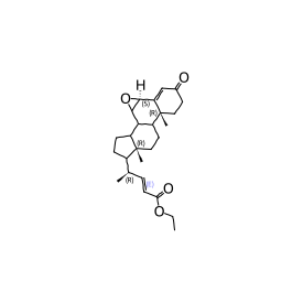 CCOC(=O)/C=C/[C@@H](C)C1CCC2C3C4O[C@H]4C4=CC(=O)CC[C@]4(C)C3CC[C@@]21C